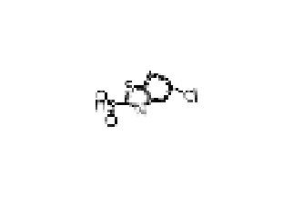 O=[SH](=O)c1nc2cc(Cl)ccc2s1